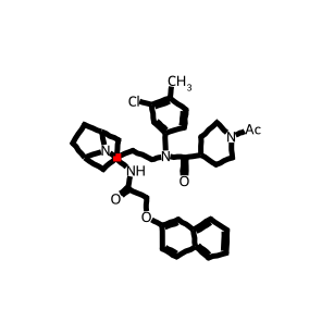 CC(=O)N1CCC(C(=O)N(CCCN2C3CCC2CC(NC(=O)COc2ccc4ccccc4c2)C3)c2ccc(C)c(Cl)c2)CC1